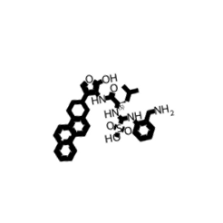 CC(C)C[C@H](NC(Nc1ccccc1CN)S(=O)(=O)O)C(=O)Nc1c(C2CCc3c(ccc4c3ccc3ccccc34)C2)coc1O